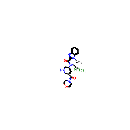 CC(C)CN(C(=O)c1nc2ccccc2n1C)[C@@H]1CNC[C@H](C(=O)N2CCOCC2)C1.Cl.Cl